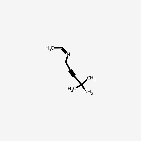 C/C=N\CC#CC(C)(C)N